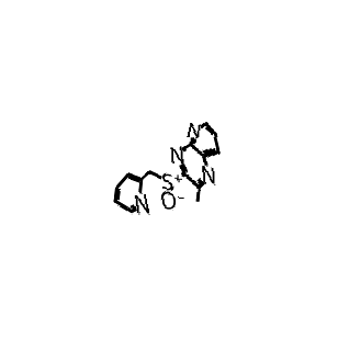 Cc1nc2cccnc2nc1[S+]([O-])Cc1ccccn1